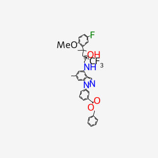 COc1ccc(F)cc1C(C)(C)C[C@@](O)(CNc1cc(C)cc2c1cnn2-c1cccc(C(=O)OCc2ccccc2)c1)C(F)(F)F